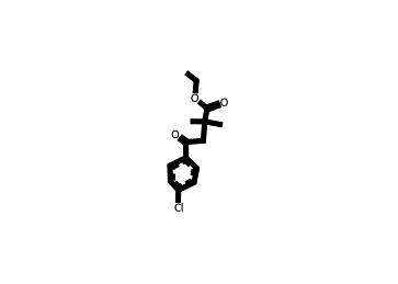 CCOC(=O)C(C)(C)CC(=O)c1ccc(Cl)cc1